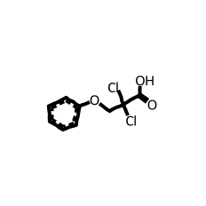 O=C(O)C(Cl)(Cl)COc1ccccc1